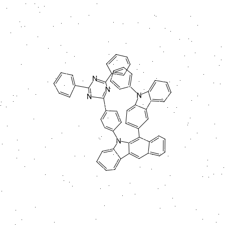 c1ccc(-c2nc(-c3ccccc3)nc(-c3ccc(-n4c5ccccc5c5cc6ccccc6c(-c6ccc7c(c6)c6ccccc6n7-c6ccccc6)c54)cc3)n2)cc1